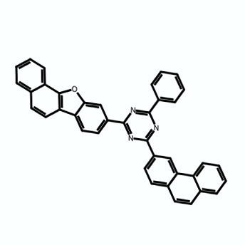 c1ccc(-c2nc(-c3ccc4c(c3)oc3c5ccccc5ccc43)nc(-c3ccc4ccc5ccccc5c4c3)n2)cc1